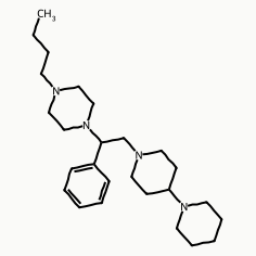 CCCCN1CCN(C(CN2CCC(N3CCCCC3)CC2)c2ccccc2)CC1